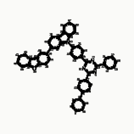 c1ccc(-c2ccc(-c3nc(-c4ccccc4)nc(-c4ccc(-n5c6ccccc6c6ccc(-c7ccc8oc9ccccc9c8c7)cc65)cc4)n3)cc2)cc1